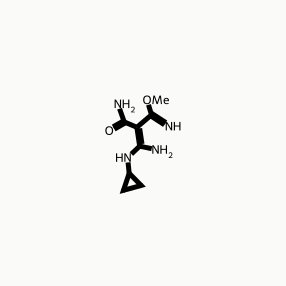 COC(=N)/C(C(N)=O)=C(\N)NC1CC1